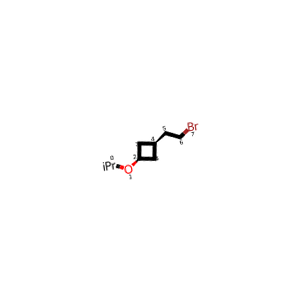 CC(C)O[C@H]1C[C@@H](CCBr)C1